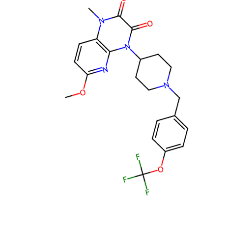 COc1ccc2c(n1)n(C1CCN(Cc3ccc(OC(F)(F)F)cc3)CC1)c(=O)c(=O)n2C